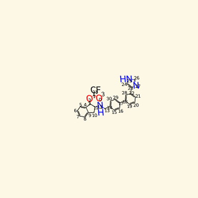 O=C(OC1c2ccccc2CC1NCc1ccc(-c2cccc(-c3c[nH]cn3)c2)cc1)C(F)(F)F